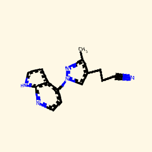 Cc1nn(-c2ccnc3[nH]ccc23)cc1CCC#N